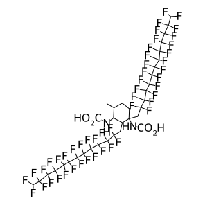 CC1CCC(CC(F)(F)C(F)(F)C(F)(F)C(F)(F)C(F)(F)C(F)(F)C(F)(F)C(F)(F)C(F)(F)C(F)(F)C(F)(F)C(F)F)(NC(=O)O)C(CC(F)(F)C(F)(F)C(F)(F)C(F)(F)C(F)(F)C(F)(F)C(F)(F)C(F)(F)C(F)(F)C(F)(F)C(F)(F)C(F)F)C1NC(=O)O